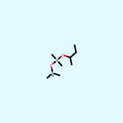 CCC(C)O[Si](C)(C)O[SiH](C)C